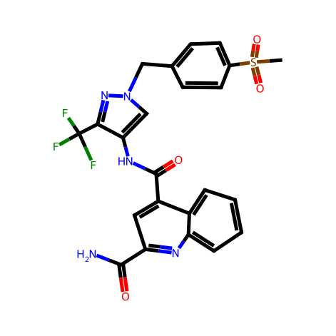 CS(=O)(=O)c1ccc(Cn2cc(NC(=O)c3cc(C(N)=O)nc4ccccc34)c(C(F)(F)F)n2)cc1